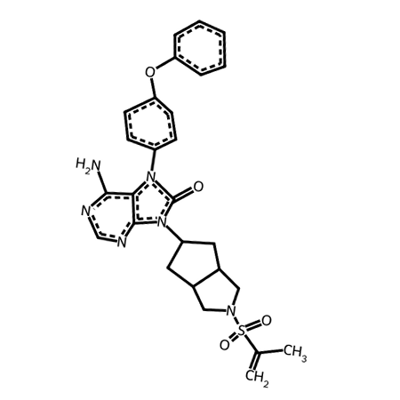 C=C(C)S(=O)(=O)N1CC2CC(n3c(=O)n(-c4ccc(Oc5ccccc5)cc4)c4c(N)ncnc43)CC2C1